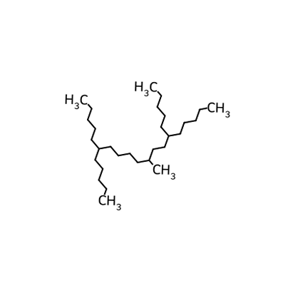 CCCCCC(CCCCC)CCCCC(C)CCC(CCCCC)CCCCC